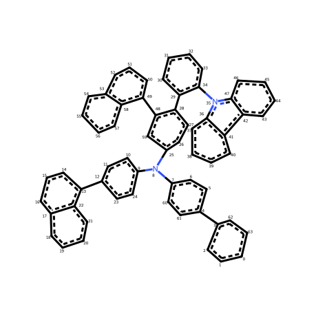 c1ccc(-c2ccc(N(c3ccc(-c4cccc5ccccc45)cc3)c3ccc(-c4ccccc4-n4c5ccccc5c5ccccc54)c(-c4cccc5ccccc45)c3)cc2)cc1